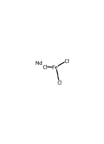 [Cl][Fe]([Cl])[Cl].[Nd]